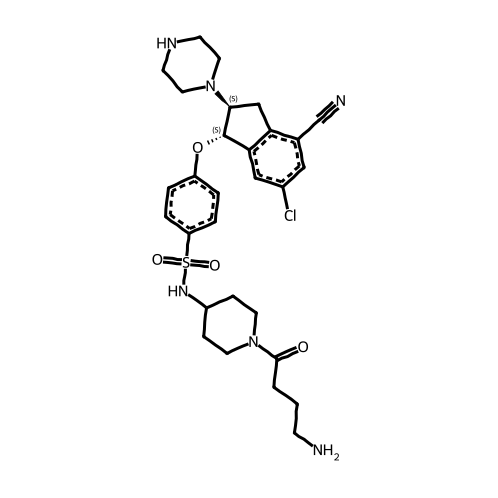 N#Cc1cc(Cl)cc2c1C[C@H](N1CCNCC1)[C@H]2Oc1ccc(S(=O)(=O)NC2CCN(C(=O)CCCN)CC2)cc1